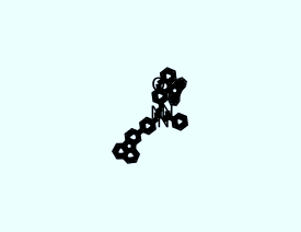 C1=CC(c2ccc(-c3nc(-c4ccccc4)nc(-c4ccc5c(c4)C4(c6ccccc6O5)c5ccccc5-c5ccccc54)n3)cc2)CC2=C1c1cccc3cccc2c13